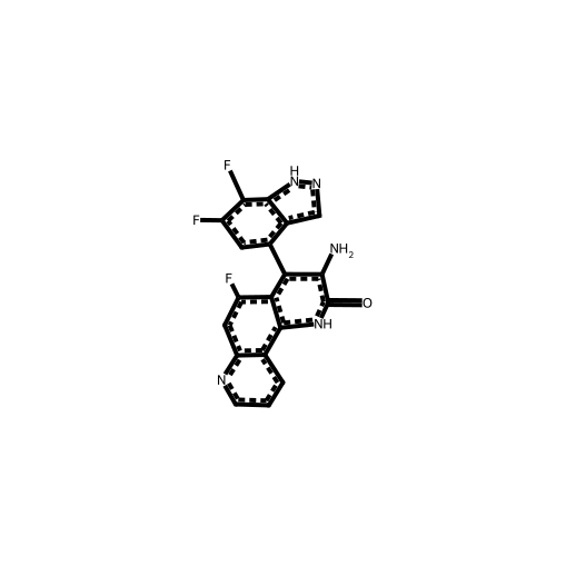 Nc1c(-c2cc(F)c(F)c3[nH]ncc23)c2c(F)cc3ncccc3c2[nH]c1=O